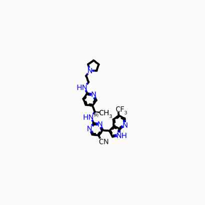 C[C@@H](Nc1ncc(C#N)c(-c2c[nH]c3ncc(C(F)(F)F)cc23)n1)c1ccc(NCCN2CCCC2)nc1